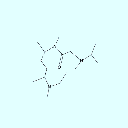 CCN(C)C(C)CCC(C)N(C)C(=O)CN(C)C(C)C